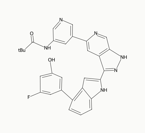 CC(C)(C)C(=O)Nc1cncc(-c2cc3c(-c4cc5c(-c6cc(O)cc(F)c6)cccc5[nH]4)n[nH]c3cn2)c1